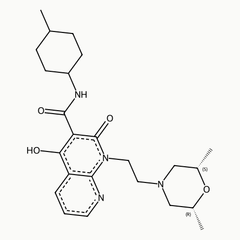 CC1CCC(NC(=O)c2c(O)c3cccnc3n(CCN3C[C@@H](C)O[C@@H](C)C3)c2=O)CC1